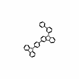 C1=CC2c3cc(-c4ccc(-n5c6ccccc6c6ccccc65)cc4)ccc3N(c3cccc(-c4ccccc4)c3)C2C=C1